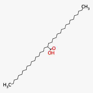 CCCCCCCCCCCCCCCCCC(CCCCCCCCCCCCCCCCC)C(=O)O